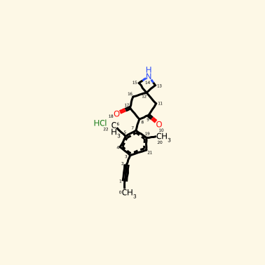 CC#Cc1cc(C)c(C2C(=O)CC3(CNC3)CC2=O)c(C)c1.Cl